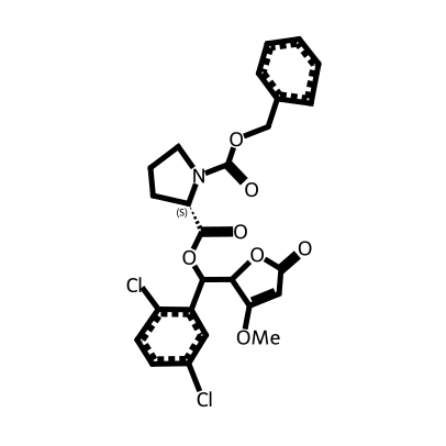 COC1=CC(=O)OC1C(OC(=O)[C@@H]1CCCN1C(=O)OCc1ccccc1)c1cc(Cl)ccc1Cl